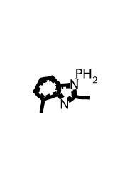 Cc1cccc2c1nc(C)n2P